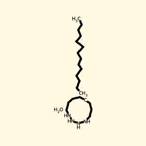 C1CCCCNNNNCCC1.CCCCCCCCCCCCCC.O